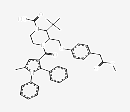 COC(=O)Cc1ccc(OCC2C(C(C)(C)C)N(C(=O)O)CCN2C(=O)c2cc(C)n(-c3ccccc3)c2-c2ccccc2)cc1